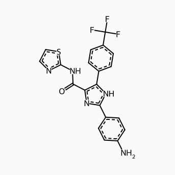 Nc1ccc(-c2nc(C(=O)Nc3nccs3)c(-c3ccc(C(F)(F)F)cc3)[nH]2)cc1